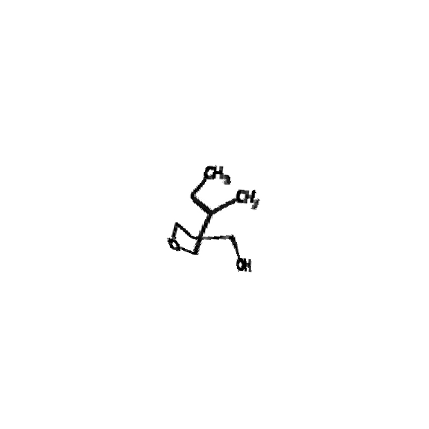 CCC(C)C1(CO)COC1